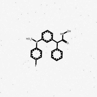 O=C(NO)C(c1ccccc1)c1cccc(N(c2ccc(F)cc2)S(=O)(=O)O)c1